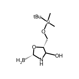 B[C@H]1NC(O)[C@@H](CO[Si](C)(C)C(C)(C)C)O1